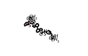 CS(=O)(=O)NCCN1C2CCC1c1sc(C(=O)N3CCc4c(-c5cccc6c5CCN6C(=O)c5nc6c(s5)C5CCC(C6)N5CCNS(C)(=O)=O)cccc43)nc1C2